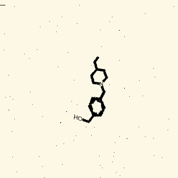 CCC1CCN(Cc2ccc(CO)cc2)CC1